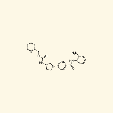 Nc1ccccc1NC(=O)c1ccc(N2CCC(NC(=O)OCc3ccccn3)C2)cc1